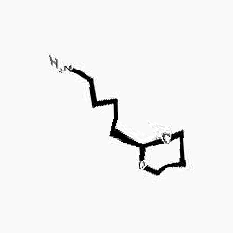 NCCCCC1OCCCO1